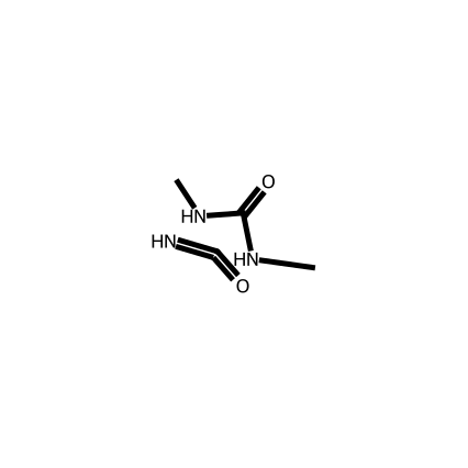 CNC(=O)NC.N=C=O